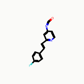 O=C=Nc1ccnc(/C=C/c2ccc(F)cc2)c1